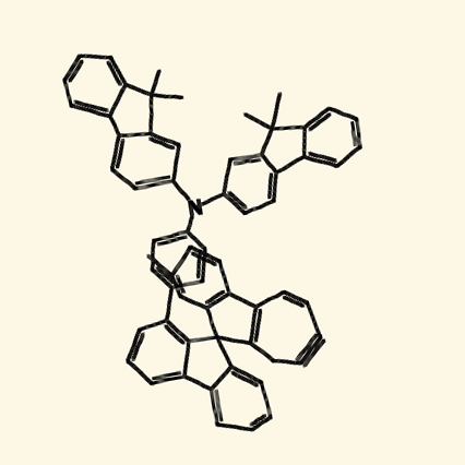 Cc1ccc2c(c1)C1(C3=C2C=CC#CC3)c2ccccc2-c2cccc(-c3ccc(N(c4ccc5c(c4)C(C)(C)c4ccccc4-5)c4ccc5c(c4)C(C)(C)c4ccccc4-5)cc3)c21